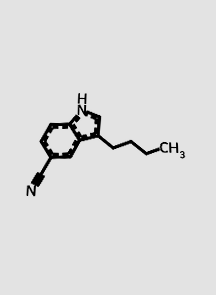 CCCCc1c[nH]c2ccc(C#N)cc12